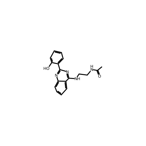 CC(=O)NCCNc1nc(-c2ccccc2O)nc2ccccc12